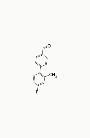 Cc1cc(F)ccc1-c1ccc(C=O)cc1